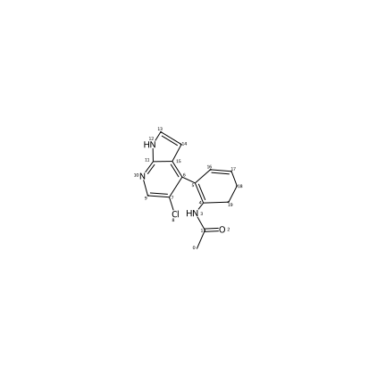 CC(=O)NC1=C(c2c(Cl)cnc3[nH]ccc23)C=CCC1